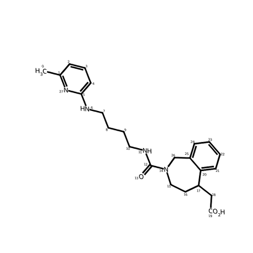 Cc1cccc(NCCCCNC(=O)N2CCC(CC(=O)O)c3ccccc3C2)n1